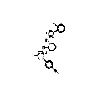 N#Cc1ccc(N2C[C@@H]3C[C@H](N[C@@H]4CCCC[C@H]4Nc4ncc(-c5ccccc5F)o4)[C@H]2C3)cc1